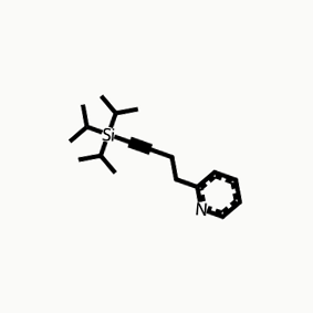 CC(C)[Si](C#CCCc1ccccn1)(C(C)C)C(C)C